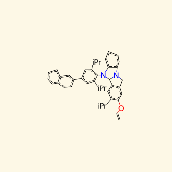 C=COc1cc2c(cc1C(C)C)C1N(C2)c2ccccc2N1c1c(C(C)C)cc(-c2ccc3ccccc3c2)cc1C(C)C